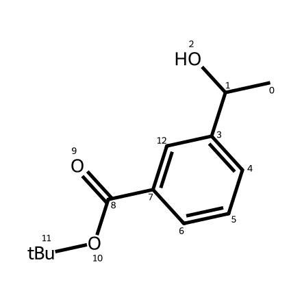 CC(O)c1cccc(C(=O)OC(C)(C)C)c1